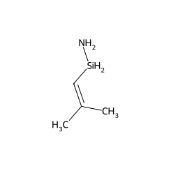 CC(C)=C[SiH2]N